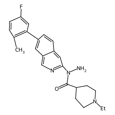 CCN1CCC(C(=O)N(N)c2cc3ccc(-c4cc(F)ccc4C)cc3cn2)CC1